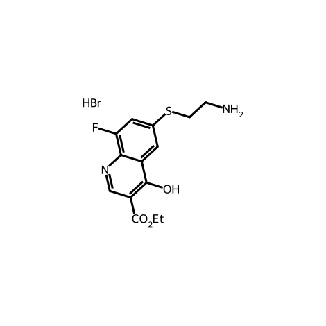 Br.CCOC(=O)c1cnc2c(F)cc(SCCN)cc2c1O